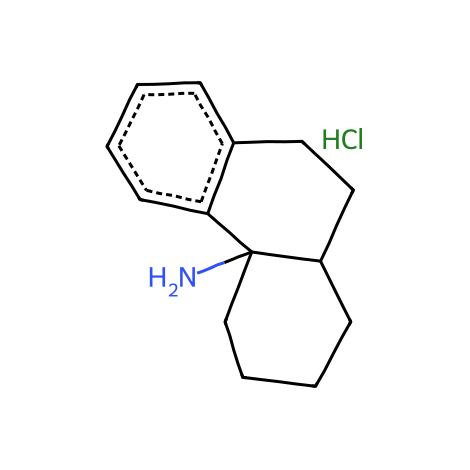 Cl.NC12CCCCC1CCc1ccccc12